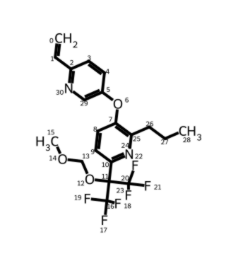 C=Cc1ccc(Oc2ccc(C(OCOC)(C(F)(F)F)C(F)(F)F)nc2CCC)cn1